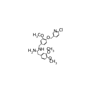 COc1ccc(CC(N)NCc2ccc(OCc3ccc(Cl)nc3)c(OC)c2)cc1OC